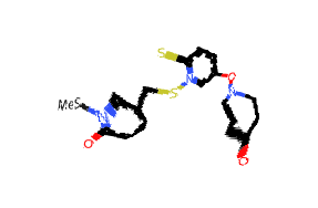 CSn1cc(CSn2cc(ON3C=CC(=O)CC3)ccc2=S)ccc1=O